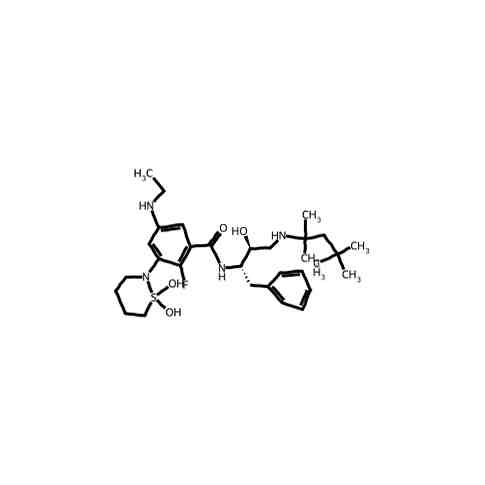 CCNc1cc(C(=O)N[C@@H](Cc2ccccc2)[C@@H](O)CNC(C)(C)CC(C)(C)C)c(F)c(N2CCCCS2(O)O)c1